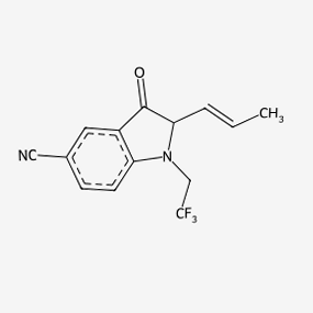 C/C=C/C1C(=O)c2cc(C#N)ccc2N1CC(F)(F)F